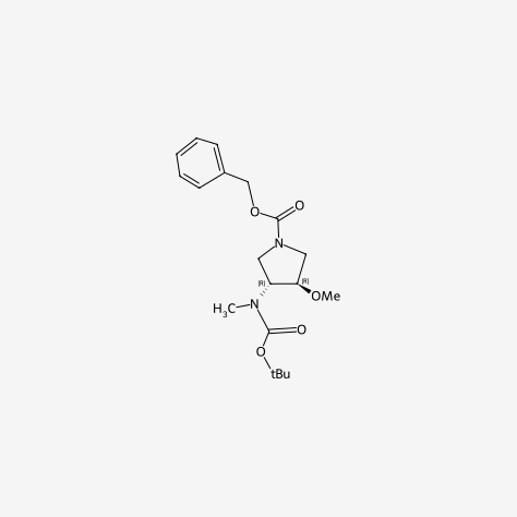 CO[C@@H]1CN(C(=O)OCc2ccccc2)C[C@H]1N(C)C(=O)OC(C)(C)C